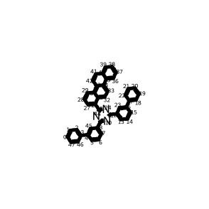 c1ccc(-c2cccc(-c3nc(-c4cccc(-c5ccccc5)c4)nc(-c4cccc5c4ccc4c6ccccc6ccc54)n3)c2)cc1